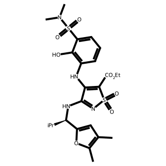 CCOC(=O)C1=C(Nc2cccc(S(=O)(=O)N(C)C)c2O)C(N[C@@H](c2cc(C)c(C)o2)C(C)C)=NS1(=O)=O